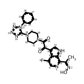 C/C(=N/O)c1ncc(F)c2c(C(=O)C(=O)N3CCN(c4nnnn4-c4ccccc4)CC3)c[nH]c12